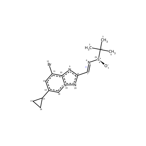 CC(C)(C)[S@@+]([O-])/N=C/c1nc2c(Br)cc(C3CC3)cn2n1